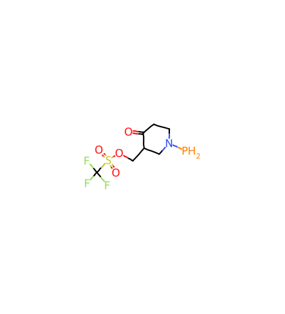 O=C1CCN(P)CC1COS(=O)(=O)C(F)(F)F